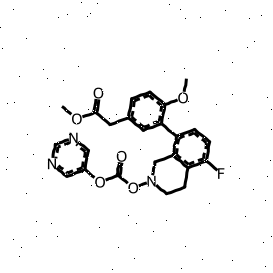 COC(=O)Cc1ccc(OC)c(-c2ccc(F)c3c2CN(OC(=O)Oc2cncnc2)CC3)c1